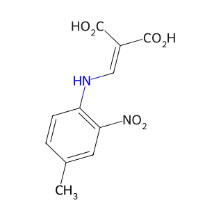 Cc1ccc(NC=C(C(=O)O)C(=O)O)c([N+](=O)[O-])c1